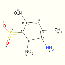 CC1=C(N)C([N+](=O)[O-])C(=S(=O)=O)C([N+](=O)[O-])=C1